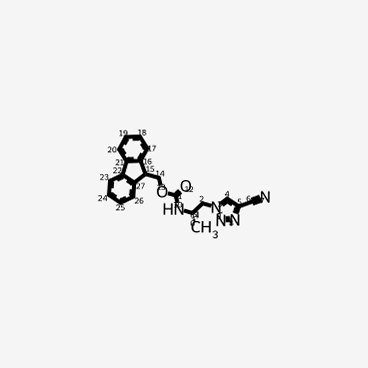 C[C@@H](Cn1cc(C#N)nn1)NC(=O)OCC1c2ccccc2-c2ccccc21